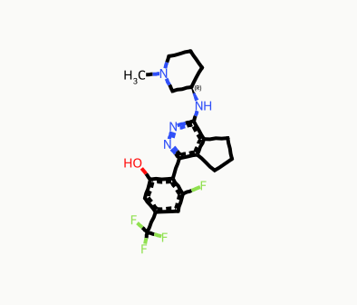 CN1CCC[C@@H](Nc2nnc(-c3c(O)cc(C(F)(F)F)cc3F)c3c2CCC3)C1